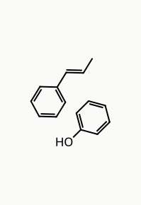 CC=Cc1ccccc1.Oc1ccccc1